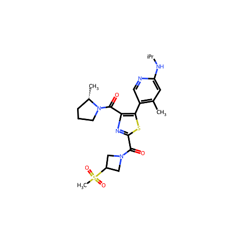 Cc1cc(NC(C)C)ncc1-c1sc(C(=O)N2CC(S(C)(=O)=O)C2)nc1C(=O)N1CCC[C@@H]1C